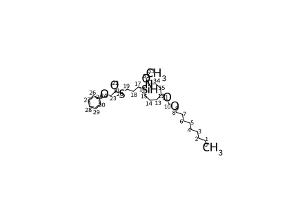 CCCCCCCCCOCOC1CCC[SiH](CCCSC(=O)COc2ccccc2)N(OC)CC1